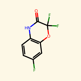 O=C1Nc2ccc(F)cc2OC1(F)F